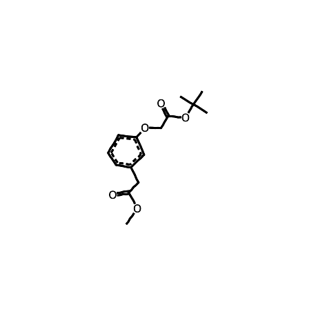 COC(=O)Cc1cccc(OCC(=O)OC(C)(C)C)c1